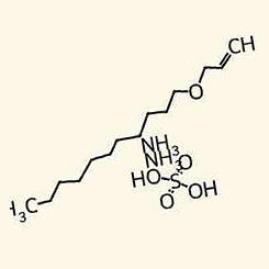 C=CCOCCCCCCCCCCC.N.N.O=S(=O)(O)O